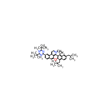 Cc1c2c(c(CC(C)(C)C)c3ccc(CC(C)C)cc13)Oc1cc3ccc(-c4nc(C(C)(C)C)nc(C(C)(C)C)n4)cc3c3cc[n+](C)c-2c13